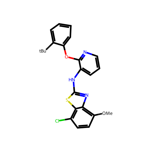 COc1ccc(Cl)c2sc(Nc3cccnc3Oc3ccccc3C(C)(C)C)nc12